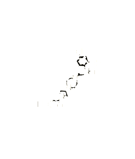 C=CC(=O)N1CC(N2CCN(C(=O)CN(C)c3ccc(Cl)cc3O)CC2)C1